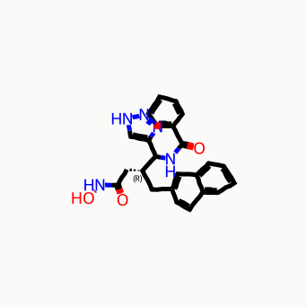 O=C(C[C@@H](Cc1ccc2ccccc2c1)C(NC(=O)c1ccccc1)c1c[nH]nn1)NO